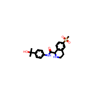 CC(C)(O)c1ccc(NC(=O)C2NCCc3cc(S(C)(=O)=O)ccc32)cc1